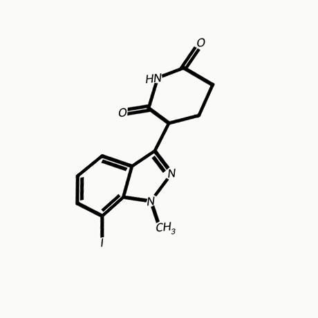 Cn1nc(C2CCC(=O)NC2=O)c2cccc(I)c21